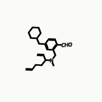 C=CCCC(C=C)N(C)Cc1cc(CC2CCCCC2)ccc1C=O